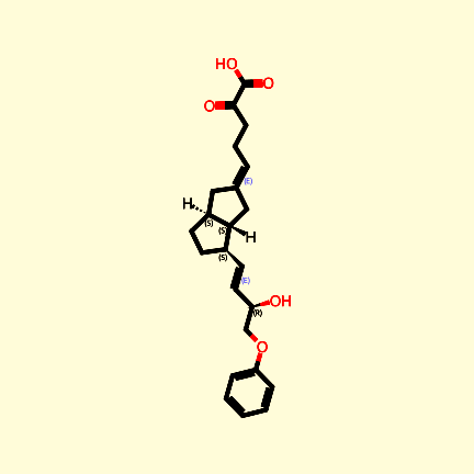 O=C(O)C(=O)CC/C=C1\C[C@@H]2CC[C@H](/C=C/[C@@H](O)COc3ccccc3)[C@H]2C1